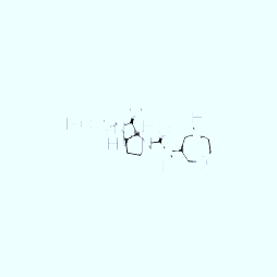 O=C(N[C@H]1CNCCOC1)N1CC[C@@H]2[C@H]1C(=O)N2S(=O)(=O)O